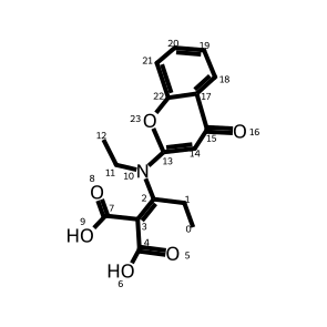 CCC(=C(C(=O)O)C(=O)O)N(CC)c1cc(=O)c2ccccc2o1